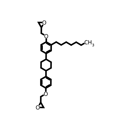 CCCCCCCc1cc(C2CCC(c3ccc(OCC4CO4)cc3)CC2)ccc1OCC1CO1